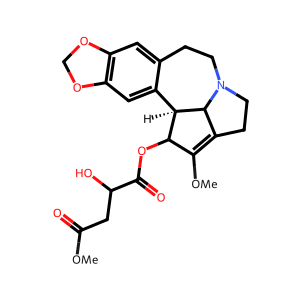 COC(=O)CC(O)C(=O)OC1C(OC)=C2CCN3CCc4cc5c(cc4[C@H]1C23)OCO5